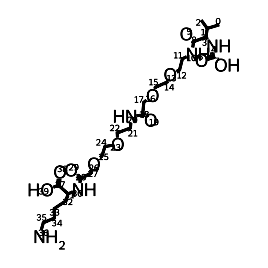 CC(C)C(NC(=O)O)C(=O)NCCOCCOCC(=O)NCCOCCOCC(=O)NC(CCCCN)C(=O)O